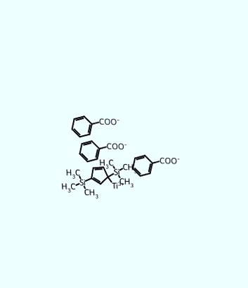 C[Si](C)(C)C1=C[C]([Ti+3])([Si](C)(C)C)C=C1.O=C([O-])c1ccccc1.O=C([O-])c1ccccc1.O=C([O-])c1ccccc1